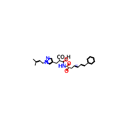 CC(C)=CCn1cc(CC(C(=O)O)C(=O)NS(=O)(=O)C/C=C/C=Cc2ccccc2)cn1